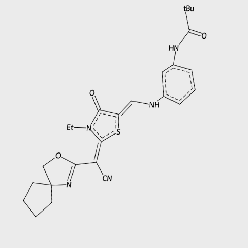 CCn1c(=C(C#N)C2=NC3(CCCC3)CO2)sc(=CNc2cccc(NC(=O)C(C)(C)C)c2)c1=O